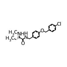 CC[C@H](NC)C(=O)NCc1ccc(OCc2ccc(Cl)cc2)cc1